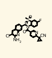 CS(=O)(=O)c1cc(F)ccc1N(Cc1ccc2cc(Cl)c(N)nc2c1)C(=O)c1ccc(C2(C#N)CC2)nc1